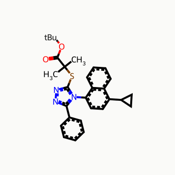 CC(C)(C)OC(=O)C(C)(C)Sc1nnc(-c2ccccc2)n1-c1ccc(C2CC2)c2ccccc12